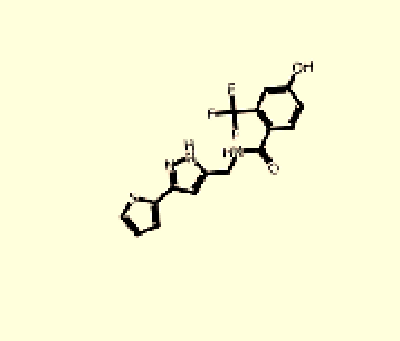 O=C(NCc1cc(-c2cccs2)n[nH]1)c1ccc(O)cc1C(F)(F)F